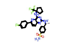 C[C@@H](Nc1nc(NC2(C(F)(F)F)CCCC2)c2nc(-c3ccc(F)cc3)ccc2n1)c1ccc(S(N)(=O)=O)cc1